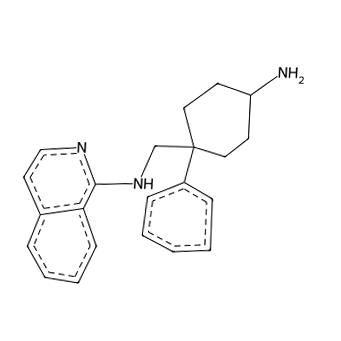 NC1CCC(CNc2nccc3ccccc23)(c2ccccc2)CC1